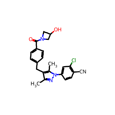 Cc1nn(-c2ccc(C#N)c(Cl)c2)c(C)c1Cc1ccc(C(=O)N2CC(O)C2)cc1